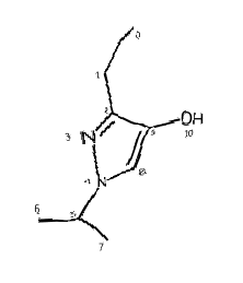 CCc1nn(C(C)C)cc1O